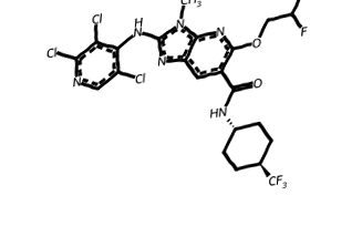 Cn1c(Nc2c(Cl)cnc(Cl)c2Cl)nc2cc(C(=O)N[C@H]3CC[C@H](C(F)(F)F)CC3)c(OCC(F)F)nc21